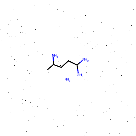 CC(N)CCC(N)N.N